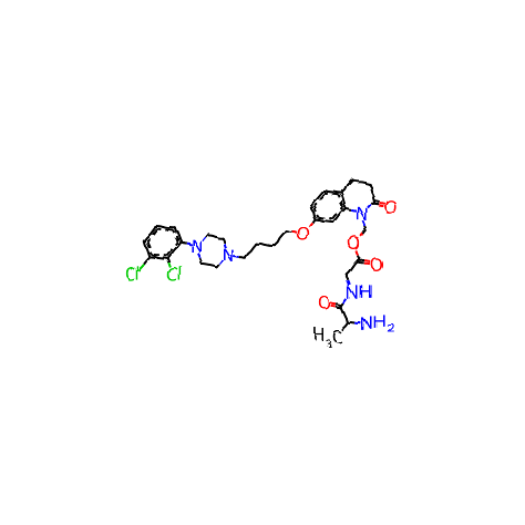 CC(N)C(=O)NCC(=O)OCN1C(=O)CCc2ccc(OCCCCN3CCN(c4cccc(Cl)c4Cl)CC3)cc21